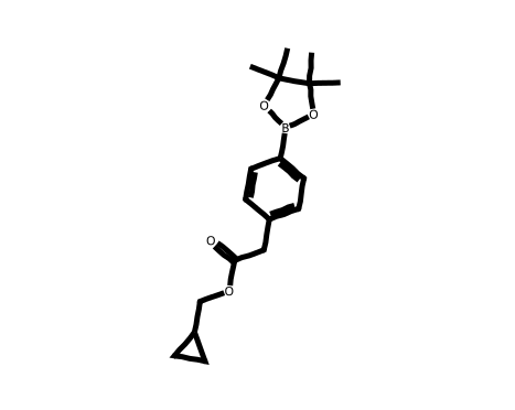 CC1(C)OB(c2ccc(CC(=O)OCC3CC3)cc2)OC1(C)C